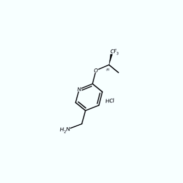 C[C@@H](Oc1ccc(CN)cn1)C(F)(F)F.Cl